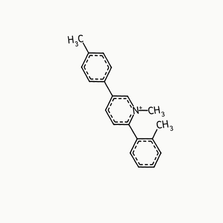 Cc1ccc(-c2ccc(-c3ccccc3C)[n+](C)c2)cc1